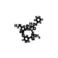 CN1CC[C@H](NC(=O)OCc2ccccc2)C(=O)N2C[C@@H](N)C[C@H]2COc2cccc(c2)C1=O